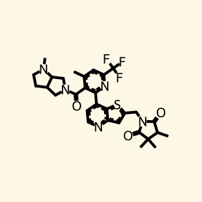 Cc1cc(C(F)(F)F)nc(-c2ccnc3cc(CN4C(=O)C(C)C(C)(C)C4=O)sc23)c1C(=O)N1CC2CCN(C)C2C1